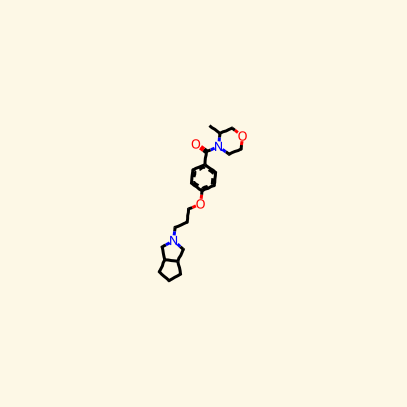 CC1COCCN1C(=O)c1ccc(OCCCN2CC3CCCC3C2)cc1